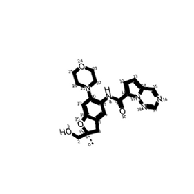 C[C@@]1(CO)Cc2cc(NC(=O)c3ccc4cncnn34)c(N3CCOCC3)cc2O1